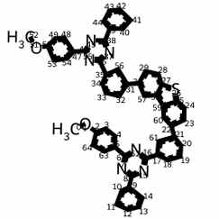 COc1ccc(-c2nc(-c3ccccc3)nc(-c3cccc(-c4ccc5sc6ccc(-c7cccc(-c8nc(-c9ccccc9)nc(-c9ccc(OC)cc9)n8)c7)cc6c5c4)c3)n2)cc1